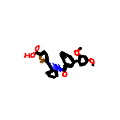 COc1ccc(-c2cccc(C(=O)Nc3ccccc3-c3ccc(C(=O)O)s3)c2)c(OC)c1